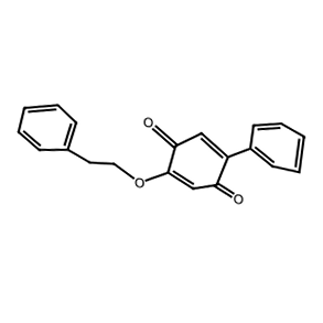 O=C1C=C(c2ccccc2)C(=O)C=C1OCCc1ccccc1